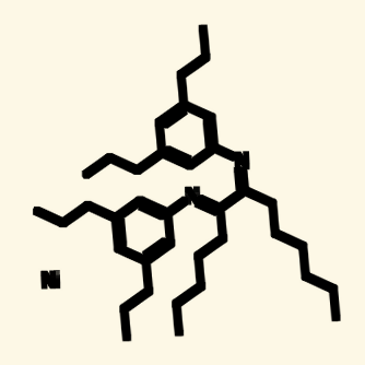 CCCCCCC(=Nc1cc(CCC)cc(CCC)c1)C(CCCCC)=Nc1cc(CCC)cc(CCC)c1.[Ni]